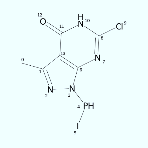 Cc1nn(PI)c2nc(Cl)[nH]c(=O)c12